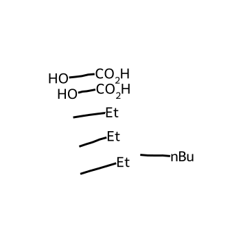 CCC.CCC.CCC.CCCCC.O=C(O)O.O=C(O)O